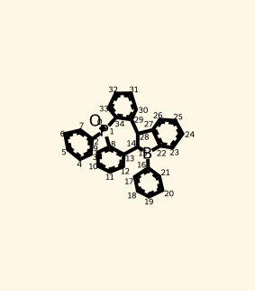 O=P1(c2ccccc2)c2ccccc2C2B(c3ccccc3)c3ccccc3C2c2ccccc21